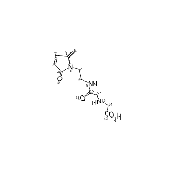 C=C1C=CC(=O)N1CCNC(=O)CNCC(=O)O